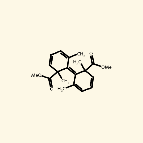 COC(=O)C1(C)C=CC=C(C)C1=C1C(C)=CC=CC1(C)C(=O)OC